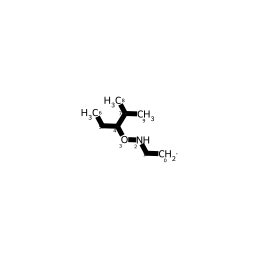 [CH2]CNOC(CC)C(C)C